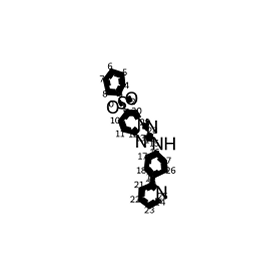 O=S(=O)(c1ccccc1)c1ccc2nc(Nc3ccc(-c4ccccn4)cc3)nn2c1